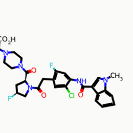 Cn1cc(C(=O)Nc2cc(F)c(CC(=O)N3C[C@@H](F)C[C@H]3C(=O)N3CCN(CC(=O)O)CC3)cc2Cl)c2ccccc21